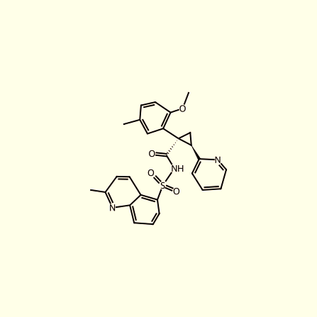 COc1ccc(C)cc1[C@@]1(C(=O)NS(=O)(=O)c2cccc3nc(C)ccc23)C[C@H]1c1ccccn1